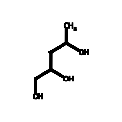 CC(O)[CH]C(O)CO